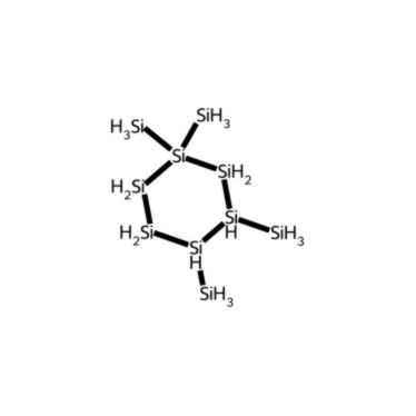 [SiH3][SiH]1[SiH2][SiH2][Si]([SiH3])([SiH3])[SiH2][SiH]1[SiH3]